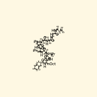 CCCCCCCC[C@H](NC(=O)C1CCc2ccccc2C1)C(=O)N[C@@H](CC(C)C)C(=O)NC(C)(C)C(=O)N[C@@H](CC(C)C)C(=O)N[C@@H](CC(C)C)C(=O)NC(C)(C)C(=O)NC(C)(C)C(=O)NCCC(=O)N[C@@H](C)CN(C)C